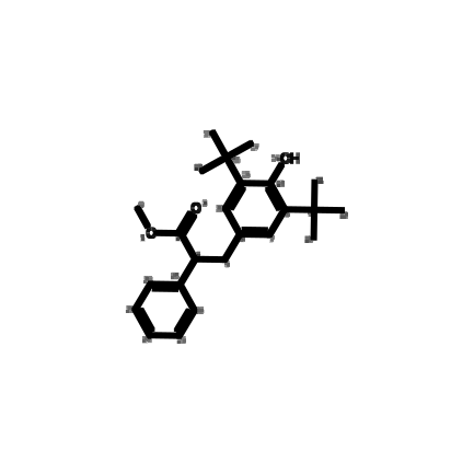 COC(=O)C(Cc1cc(C(C)(C)C)c(O)c(C(C)(C)C)c1)c1ccccc1